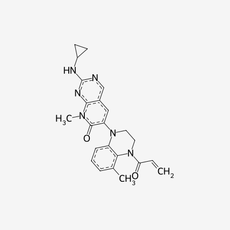 C=CC(=O)N1CCN(c2cc3cnc(NC4CC4)nc3n(C)c2=O)c2cccc(C)c21